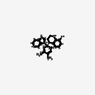 NC1=CNC([C@@H]2CCOc3c(F)cccc32)(n2cnc3ccncc32)N=C1N